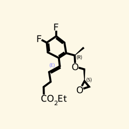 CCOC(=O)CC/C=C/c1cc(F)c(F)cc1[C@@H](C)OC[C@H]1CO1